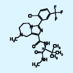 CNC(=O)[C@@H](NC(=O)c1nc(-c2cc(C(F)(F)F)ccc2Cl)n2c1CN(C)CCC2)C(C)(C)C